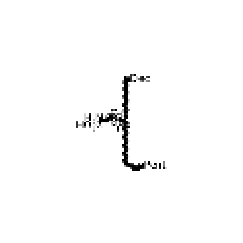 CCCCC/C=C\C/C=C\CCCCCCCC(=O)O[C@H](COCCCCCCCCCCCCCCCCCC)COP(=O)(O)OC[C@H](N)C(=O)O